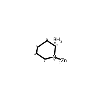 B.[Zn][N]1CCCCC1